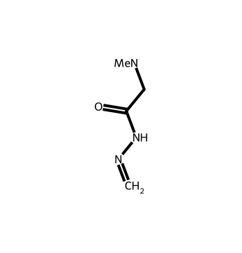 C=NNC(=O)CNC